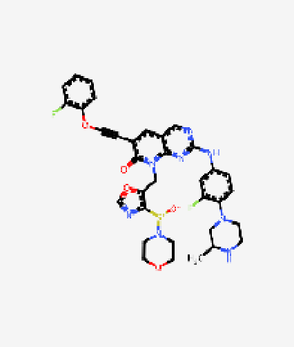 CC1CN(c2ccc(Nc3ncc4cc(C#COc5ccccc5F)c(=O)n(Cc5ocnc5[S+]([O-])N5CCOCC5)c4n3)cc2F)CCN1